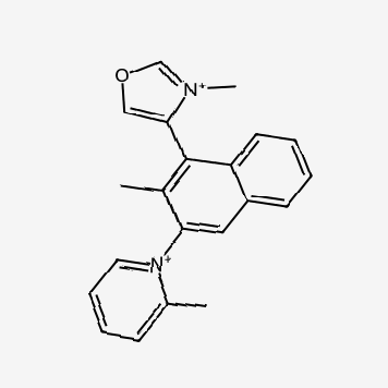 Cc1c(-[n+]2ccccc2C)cc2ccccc2c1-c1coc[n+]1C